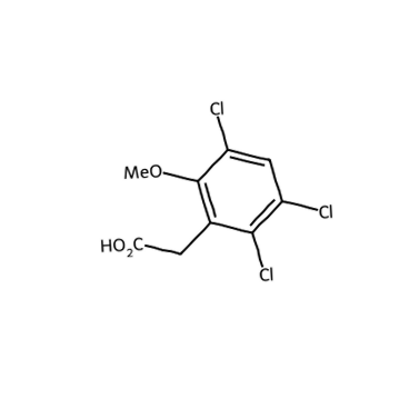 COc1c(Cl)cc(Cl)c(Cl)c1CC(=O)O